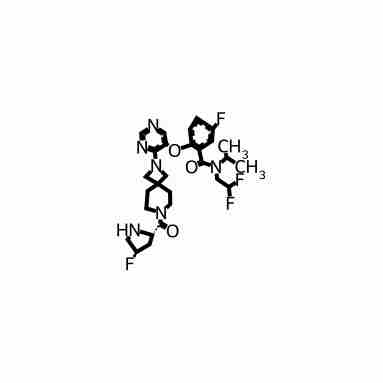 CC(C)N(CC(F)F)C(=O)c1cc(F)ccc1Oc1cncnc1N1CC2(CCN(C(=O)[C@@H]3C[C@@H](F)CN3)CC2)C1